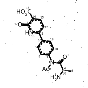 CC(=O)N(C(=O)[C@@H](C)N)c1ccc(-c2ccc(C(=O)O)c(=O)[nH]2)cc1